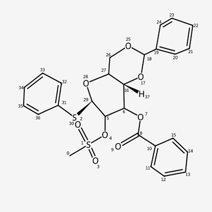 CS(=O)(=O)OC1C(OC(=O)c2ccccc2)[C@H]2OC(c3ccccc3)OCC2O[C@@H]1Sc1ccccc1